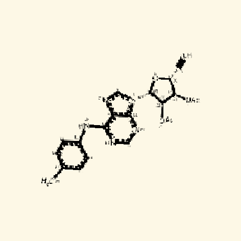 C#C[C@H]1O[C@@H](n2cnc3c(Nc4ccc(C)cc4)ncnc32)[C@H](OC(C)=O)[C@@H]1OC(C)=O